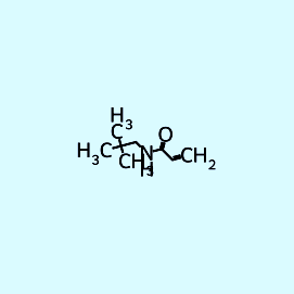 C=CC(=O)NCC(C)(C)C